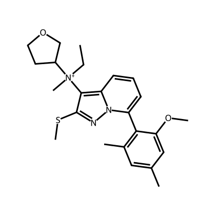 CC[N+](C)(c1c(SC)nn2c(-c3c(C)cc(C)cc3OC)cccc12)C1CCOC1